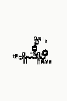 CN[C@@H](Cc1ccccc1)C(=O)N[C@@H](CCCCNC(=O)OC(C)(C)C)C(=O)Nc1ccc(COC(N)=O)cc1